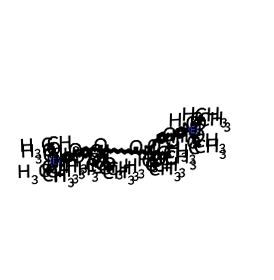 CC(C)(C)OC(=O)CC(C(=O)OC(C)(C)C)N(CCCC(=O)CCCCCCCCN(C(=O)OCc1ccc(OC(=O)c2ccc(N/C(=N\C(=O)OC(C)(C)C)NC(=O)OC(C)(C)C)cc2)cc1)C(CC(=O)OC(C)(C)C)C(=O)OC(C)(C)C)COCc1ccc(OC(=O)c2ccc(N/C(=N\C(=O)OC(C)(C)C)NC(=O)OC(C)(C)C)cc2)cc1